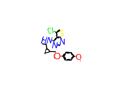 COc1ccc(OCC2CC2C(C)Nc2ncnc3scc(Cl)c23)cc1